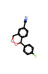 N#Cc1ccc2c(c1)COOC2c1ccc(F)cc1